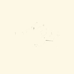 CCO.CCO.CCO.CCO.CCO.COCCO.[SrH2].[Ta]